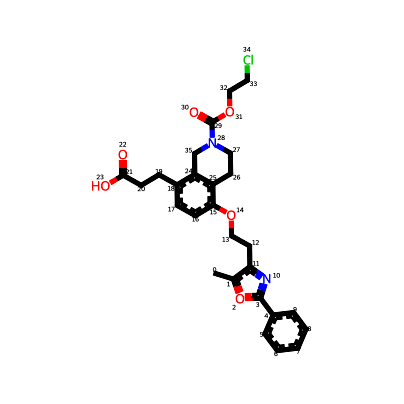 Cc1oc(-c2ccccc2)nc1CCOc1ccc(CCC(=O)O)c2c1CCN(C(=O)OCCCl)C2